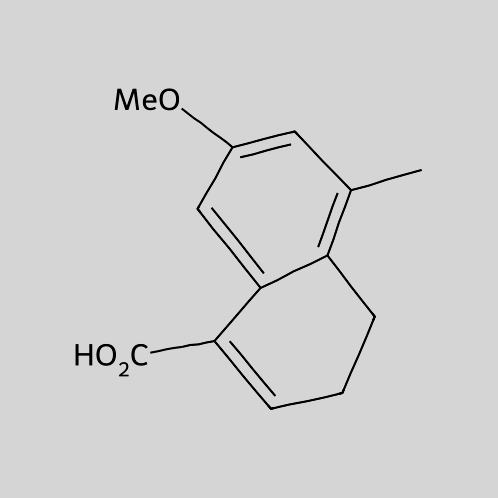 COc1cc(C)c2c(c1)C(C(=O)O)=CCC2